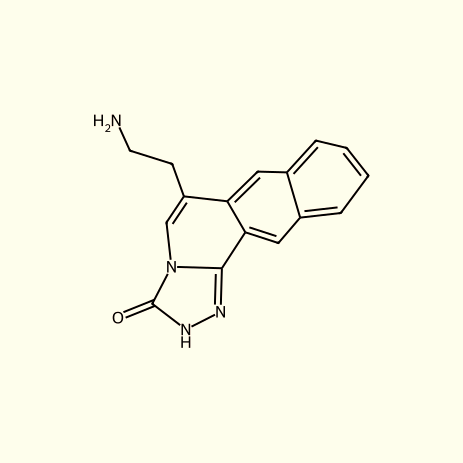 NCCc1cn2c(=O)[nH]nc2c2cc3ccccc3cc12